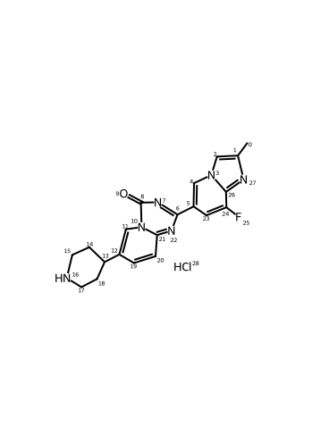 Cc1cn2cc(-c3nc(=O)n4cc(C5CCNCC5)ccc4n3)cc(F)c2n1.Cl